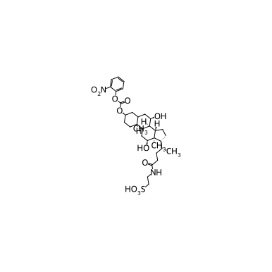 C[C@H](CCC(=O)NCCS(=O)(=O)O)[C@H]1CC[C@H]2[C@@H]3[C@H](O)CC4C[C@H](OC(=O)Oc5ccccc5[N+](=O)[O-])CC[C@]4(C)[C@H]3C[C@H](O)[C@]12C